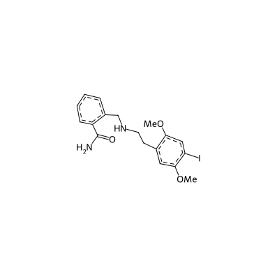 COc1cc(CCNCc2ccccc2C(N)=O)c(OC)cc1I